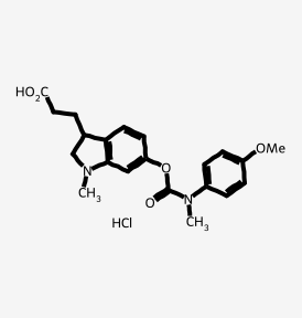 COc1ccc(N(C)C(=O)Oc2ccc3c(c2)N(C)CC3CCC(=O)O)cc1.Cl